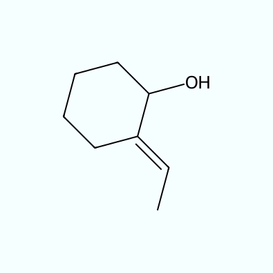 CC=C1CCCCC1O